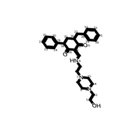 O=C1C(=CNCCN2CCN(CCO)CC2)C(=O)C(c2ccccc2)CC1Cc1ccccc1